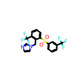 O=S(=O)(c1cccc(C(F)(F)F)c1)c1cccc(C(F)(F)F)c1Cn1ccnc1